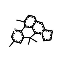 Cc1cnc2c(c1)C(C)(C)c1c3c-2c(C)ccc3cc2cccn12